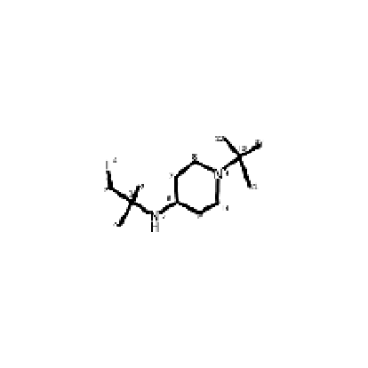 CC(C)(CI)NC1CCN(C(C)(C)C)CC1